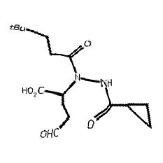 CC(C)(C)CCC(=O)N(NC(=O)C1CC1)C(CC=O)C(=O)O